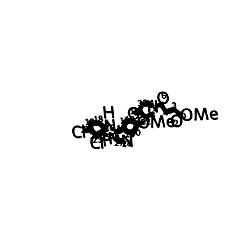 COC(=O)C=CC(=O)N1CCC(Oc2cc3c(Nc4ccc(Cl)c(Cl)c4F)ncnc3cc2OC)CC1